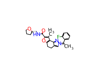 Cc1c(C(=O)NC[C@@H]2CCCO2)oc2c1-c1nn([C@H](C)c3ccccc3F)cc1CC2